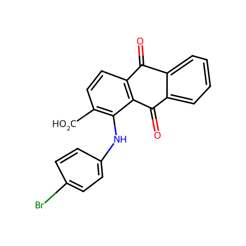 O=C(O)c1ccc2c(c1Nc1ccc(Br)cc1)C(=O)c1ccccc1C2=O